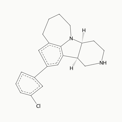 Clc1cccc(-c2cc3c4c(c2)[C@@H]2CNCC[C@@H]2N4CCCC3)c1